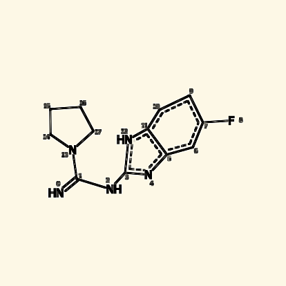 N=C(Nc1nc2cc(F)ccc2[nH]1)N1CCCC1